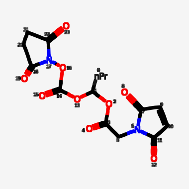 CCCC(OC(=O)CN1C(=O)C=CC1=O)OC(=O)ON1C(=O)CCC1=O